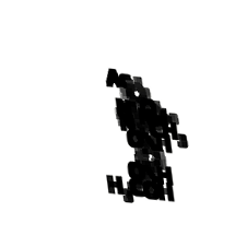 CC(=O)c1ccc(OCC2CC2)c(-c2ncnc3c(C(=O)NC4CCC(NC(=O)C(C)O)CC4)c(C)[nH]c23)c1